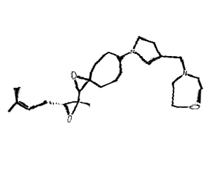 CC(C)=CC[C@H]1O[C@@]1(C)C1OC12CCC(N1CCC(CN3CCOCC3)C1)CC2